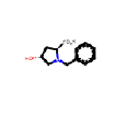 O=C(O)[C@@H]1C[C@@H](O)CN1Cc1ccccc1